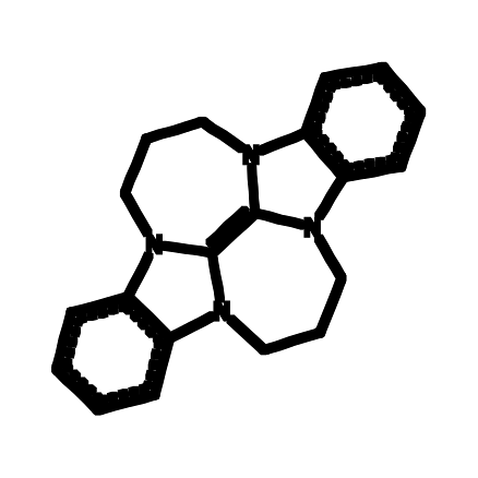 c1ccc2c(c1)N1CCCN3C4=C1N2CCCN4c1ccccc13